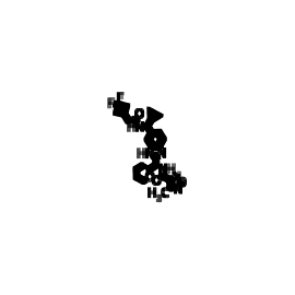 Cc1nonc1C(=O)N[C@H](c1nc2ccc(C(NC(=O)CC3CC(F)(F)C3)C3CC3)cc2[nH]1)[C@@H]1CCCCO1